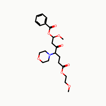 COCCOC(=O)CCC(C(=O)CC(OC)OC(=O)c1ccccc1)N1CCOCC1